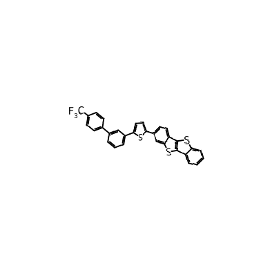 FC(F)(F)c1ccc(-c2cccc(-c3ccc(-c4ccc5c(c4)sc4c6ccccc6sc54)s3)c2)cc1